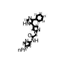 CCCn1cc(NC(=O)Cn2cc(-c3[nH]cnc3-c3ccccc3)cn2)nn1